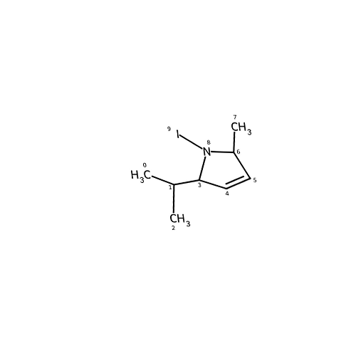 CC(C)C1C=CC(C)N1I